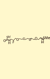 CSNCCOCCOCCOCCOCC(F)CNC(=O)S